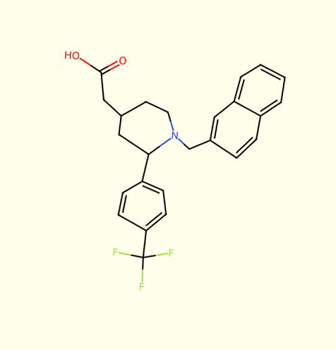 O=C(O)CC1CCN(Cc2ccc3ccccc3c2)C(c2ccc(C(F)(F)F)cc2)C1